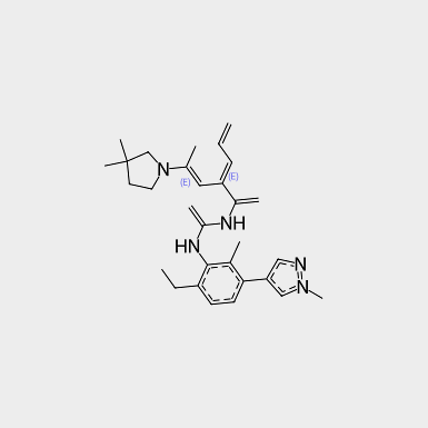 C=C/C=C(\C=C(/C)N1CCC(C)(C)C1)C(=C)NC(=C)Nc1c(CC)ccc(-c2cnn(C)c2)c1C